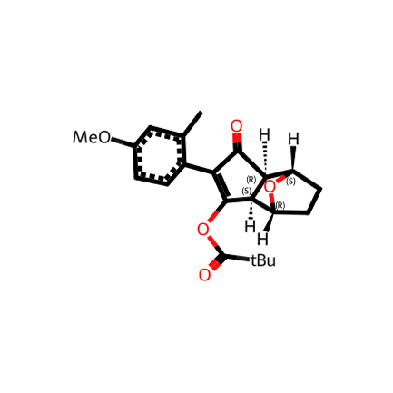 COc1ccc(C2=C(OC(=O)C(C)(C)C)[C@H]3[C@@H](C2=O)[C@@H]2CC[C@H]3O2)c(C)c1